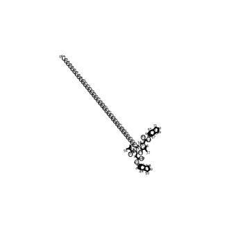 C=C=C=C=C=C=C=C=C=C=C=C=C=C=C=C=C=C=C=C=C=C=C=C=C=C=C=C=C=C=C=C=C=C=C=C(N(CCC(=O)OC1CC2CC1C1C=CCC21)C(=O)C(=C)C)N(CCC(=O)OC1CC2CC1C1C=CCC21)C(=O)C(=C)C